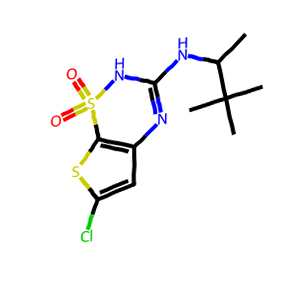 CC(NC1=Nc2cc(Cl)sc2S(=O)(=O)N1)C(C)(C)C